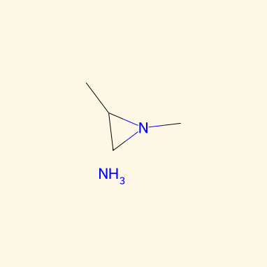 CC1CN1C.N